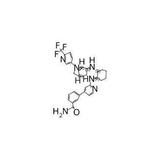 NC(=O)c1cccc(-c2ccnc(N[C@@H]3CCCC[C@H]3N[C@H]3C[C@@H]4C[C@H]3N(c3ccc(C(F)(F)F)nc3)C4)c2)c1